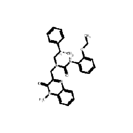 CCOc1ccccc1NC(=O)N(Cc1nc2ccccc2n(C)c1=O)C[C@@H](C)c1ccccc1